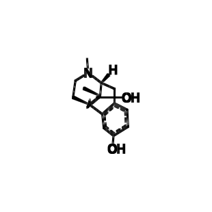 CN1CC[C@]23CCCC(O)[C@@]2(C)[C@H]1Cc1ccc(O)cc13